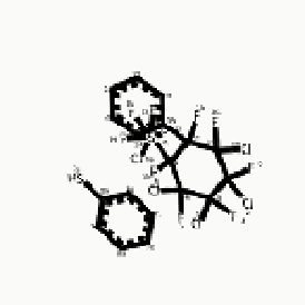 FC1(Cl)C(F)(Cl)C(F)(Cl)C(F)(S(F)(F)(F)(F)Cl)C(F)(c2ccccc2)C1(F)Cl.Sc1ccccc1